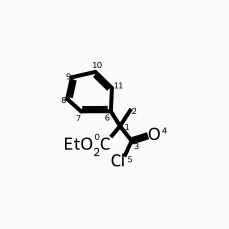 CCOC(=O)C(C)(C(=O)Cl)c1ccccc1